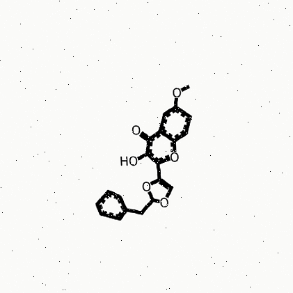 COc1ccc2oc(C3=COC(Cc4ccccc4)O3)c(O)c(=O)c2c1